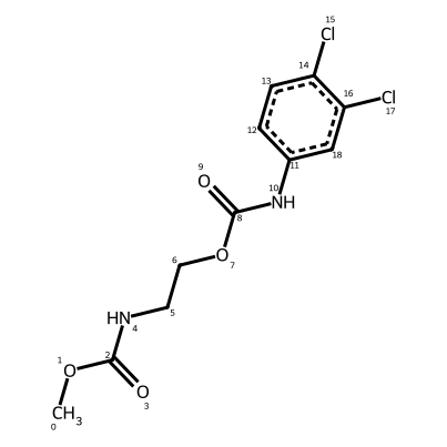 COC(=O)NCCOC(=O)Nc1ccc(Cl)c(Cl)c1